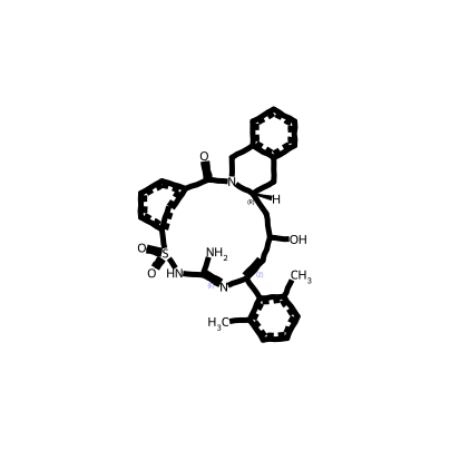 Cc1cccc(C)c1C1=C/C(O)C[C@H]2Cc3ccccc3CN2C(=O)c2cccc(c2)S(=O)(=O)N\C(N)=N\1